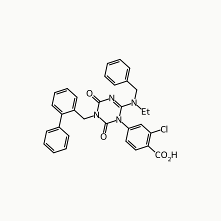 CCN(Cc1ccccc1)c1nc(=O)n(Cc2ccccc2-c2ccccc2)c(=O)n1-c1ccc(C(=O)O)c(Cl)c1